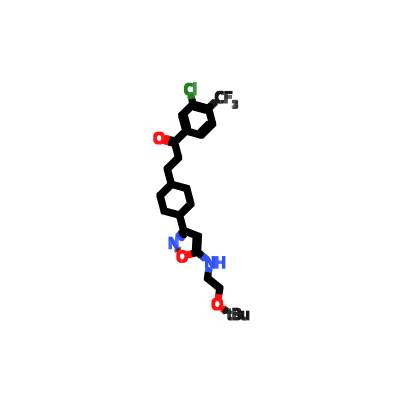 CC(C)(C)OCCNc1cc(C2CCC(CCC(=O)c3ccc(C(F)(F)F)c(Cl)c3)CC2)no1